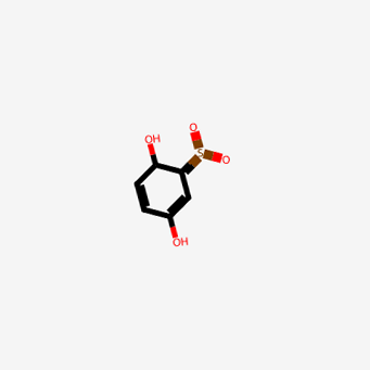 O=S(=O)=C1C=C(O)C=CC1O